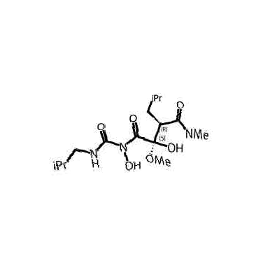 CNC(=O)[C@H](CC(C)C)[C@](O)(OC)C(=O)N(O)C(=O)NCC(C)C